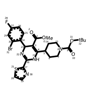 COC(=O)C1=C(C2CCN(C(=O)OC(C)(C)C)CC2)NC(c2nccs2)=NC1c1ccc(F)cc1Br